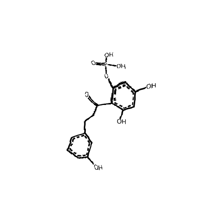 O=C(CCc1cccc(O)c1)c1c(O)cc(O)cc1OP(=O)(O)O